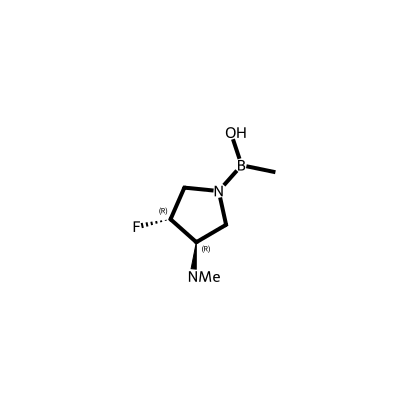 CN[C@@H]1CN(B(C)O)C[C@H]1F